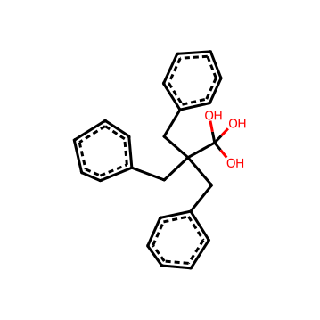 OC(O)(O)C(Cc1ccccc1)(Cc1ccccc1)Cc1ccccc1